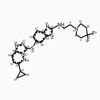 FC1(F)CCN(CCNc2nc3ccc(Sc4nnc5ccc(C6CC6)nn45)cc3s2)CC1